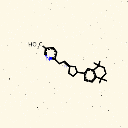 CC1(C)CCC(C)(C)c2cc(C3CC/C(=C\Cc4ccc(C(=O)O)cn4)C3)ccc21